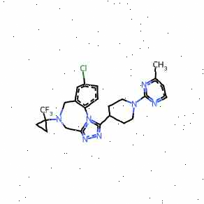 Cc1ccnc(N2CCC(c3nnc4n3-c3ccc(Cl)cc3CN(C3(C(F)(F)F)CC3)C4)CC2)n1